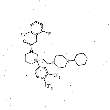 O=C(Cc1c(F)cccc1Cl)N1CCC[C@](CCN2CCN(C3CCCCC3)CC2)(c2ccc(C(F)(F)F)c(C(F)(F)F)c2)C1